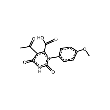 COc1ccc(-n2c(C(=O)O)c(C(C)=O)c(=O)[nH]c2=O)cc1